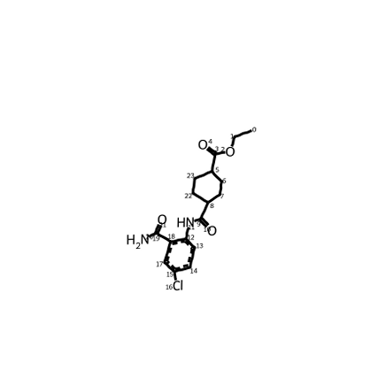 CCOC(=O)C1CCC(C(=O)Nc2ccc(Cl)cc2C(N)=O)CC1